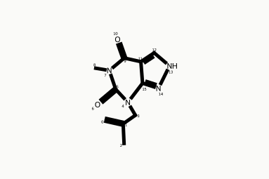 C=C(C)Cn1c(=O)n(C)c(=O)c2c[nH]nc21